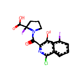 O=C(c1nc(Cl)c2cccc(I)c2c1O)N1CCCC1(I)C(=O)O